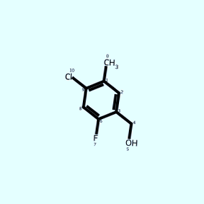 Cc1cc(CO)c(F)cc1Cl